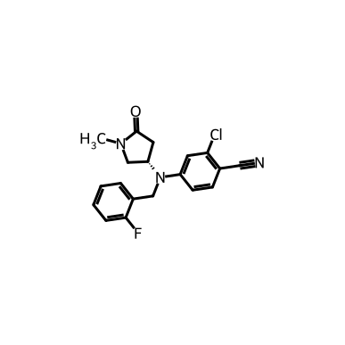 CN1C[C@@H](N(Cc2ccccc2F)c2ccc(C#N)c(Cl)c2)CC1=O